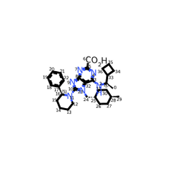 C[C@@H](Nc1nc(C(=O)O)nc2nc(N3CCCC[C@H]3c3ccccc3)n(C[C@H]3CC[C@H](C)CC3)c12)C1CCC1